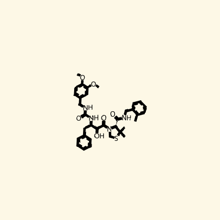 COc1ccc(CNC(=O)NC(Cc2ccccc2)C(O)C(=O)N2CSC(C)(C)[C@H]2C(=O)NCc2ccccc2C)cc1OC